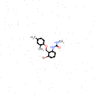 CNC(=O)Nc1cccc(Br)c1COc1ccc(C)cc1C